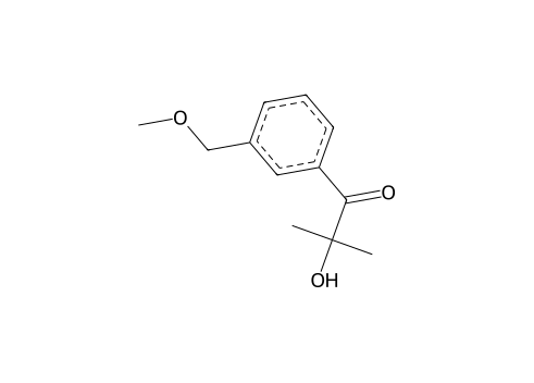 COCc1cccc(C(=O)C(C)(C)O)c1